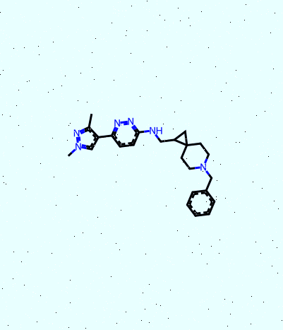 Cc1nn(C)cc1-c1ccc(NCC2CC23CCN(Cc2ccccc2)CC3)nn1